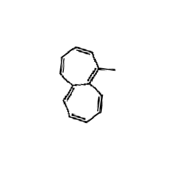 CC1=C2C=CC=CC=C2C=CC=C1